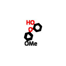 COc1ccc(OC2CCCC[C@H]2O)cc1